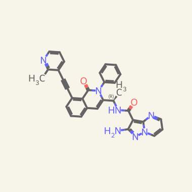 Cc1ncccc1C#Cc1cccc2cc([C@@H](C)NC(=O)c3c(N)nn4cccnc34)n(-c3ccccc3)c(=O)c12